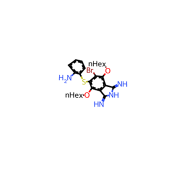 CCCCCCOc1c(Br)c(Sc2ccccc2N)c(OCCCCCC)c2c1C(=N)NC2=N